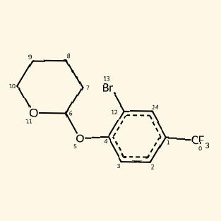 FC(F)(F)c1ccc(OC2CCCCO2)c(Br)c1